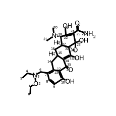 CCON(CC)Cc1ccc(O)c2c1C[C@H]1C[C@H]3[C@H](N(C)C)C(O)=C(C(N)=O)C4(O)O[C@]34C(O)=C1C2=O